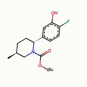 C[C@H]1CC[C@H](c2ccc(F)c(O)c2)N(C(=O)OC(C)(C)C)C1